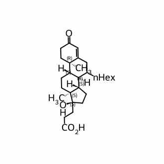 CCCCCCC1CC2=CC(=O)CC[C@]2(C)[C@H]2CC[C@@]3(C)[C@@H](CC[C@]3(O)CCC(=O)O)[C@H]12